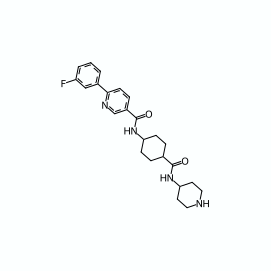 O=C(NC1CCC(C(=O)NC2CCNCC2)CC1)c1ccc(-c2cccc(F)c2)nc1